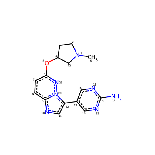 CN1CCC(Oc2ccc3ncc(-c4cnc(N)nc4)n3n2)C1